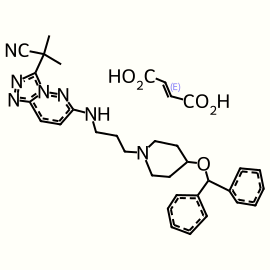 CC(C)(C#N)c1nnc2ccc(NCCCN3CCC(OC(c4ccccc4)c4ccccc4)CC3)nn12.O=C(O)/C=C/C(=O)O